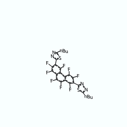 CCCCc1nnc(-c2c(F)c(F)c3c(c2F)c(F)c(F)c2c(F)c(F)c(-c4nnc(CCCC)s4)c(F)c23)s1